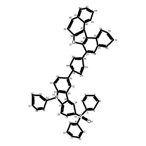 O=P(c1ccccc1)(c1ccccc1)c1ccc2c(c1)c1cc(-c3ccc(-c4cc5ccccc5c5c4oc4ccc6ccccc6c45)cc3)ccc1n2-c1ccccc1